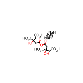 O=C(O)CC(O)(CC(=O)OC(=O)CC(O)(CC(=O)O)C(=O)O)C(=O)O.[NaH].[NaH].[NaH].[NaH]